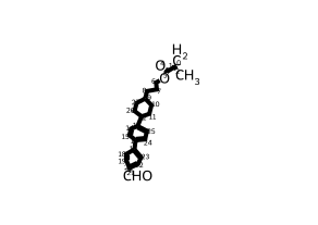 C=C(C)C(=O)OCCCC1CCC(c2ccc(-c3ccc(C=O)cc3)cc2)CC1